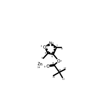 Cc1noc(C)c1OC(=O)C(C)(C)C.[Zn]